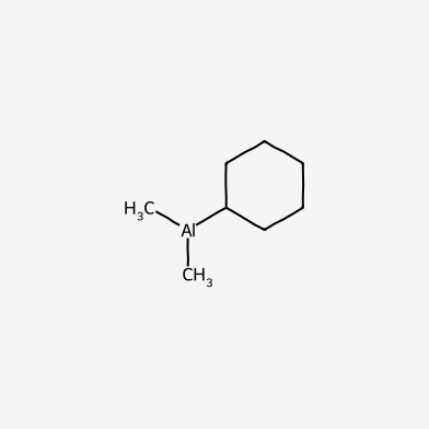 [CH3][Al]([CH3])[CH]1CCCCC1